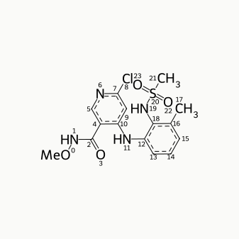 CONC(=O)c1cnc(Cl)cc1Nc1cccc(C)c1NS(C)(=O)=O